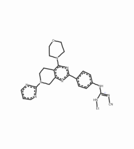 CCN/C(=N\C#N)Nc1ccc(-c2nc3c(c(N4CCOCC4)n2)CCN(c2ncccn2)C3)cc1